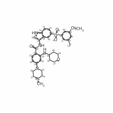 COc1cc(F)cc(S(=O)(=O)c2ccc3[nH]nc(NC(=O)c4ccc(N5CCN(C)CC5)cc4NC4CCOCC4)c3c2)c1